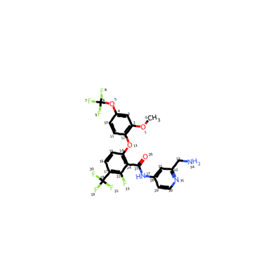 COc1cc(OC(F)(F)F)ccc1Oc1ccc(C(F)(F)F)c(F)c1C(=O)Nc1ccnc(CN)c1